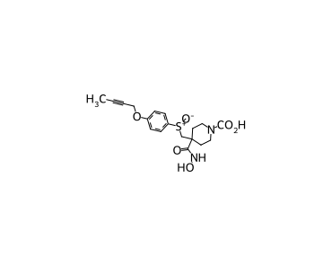 CC#CCOc1ccc([S+]([O-])CC2(C(=O)NO)CCN(C(=O)O)CC2)cc1